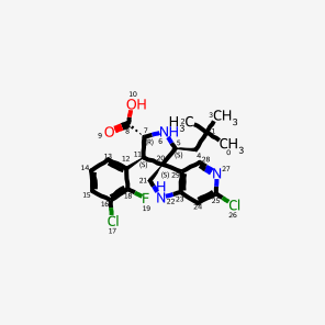 CC(C)(C)C[C@@H]1N[C@@H](C(=O)O)[C@H](c2cccc(Cl)c2F)[C@]12CNc1cc(Cl)ncc12